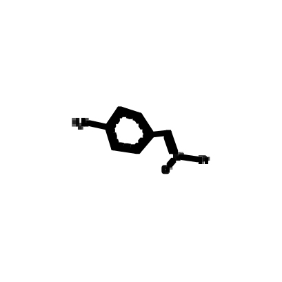 CC(C)[N+]([O-])=Cc1ccc(N)cc1